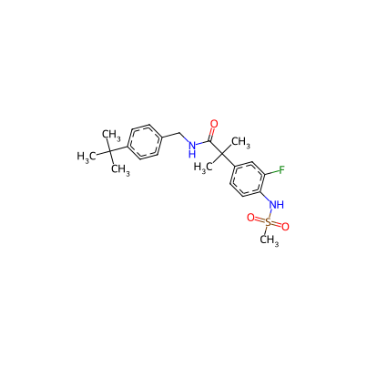 CC(C)(C)c1ccc(CNC(=O)C(C)(C)c2ccc(NS(C)(=O)=O)c(F)c2)cc1